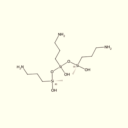 C[Si@](O)(CCCN)O[Si](O)(CCCN)O[Si@](C)(O)CCCN